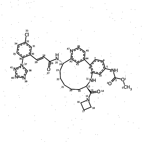 COC(=O)Nc1ccc2c(c1)N[C@@H](C(=O)N1CCC1)CCCCC[C@H](NC(=O)/C=C/c1cc(Cl)ccc1-n1cnnn1)c1cc-2ccn1